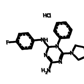 Cl.NC1=NC(Nc2ccc(F)cc2)N(c2ccccc2)C(N2CCCC2)=N1